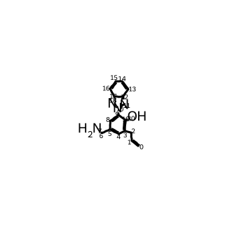 C=CCc1cc(CN)cc(-n2nc3ccccc3n2)c1O